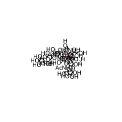 CC(=O)N[C@H]1[C@H](O[C@@H]2[C@H](O[C@]3(C(=O)O)C[C@H](O)[C@@H](NC(=O)CO)[C@H]([C@H](O)[C@H](O)CO)O3)[C@@H](O)[C@H](O[C@H]3[C@@H](O)[C@@H](CO)O[C@@H](O[C@@H]4[C@H](O)[C@@H](O)[C@H](O[C@H]5[C@H](O)[C@@H](O)[C@H](O)O[C@@H]5CO)O[C@@H]4CO)[C@@H]3NC(C)=O)O[C@@H]2CO)O[C@H](CO)[C@H](O)[C@@H]1O[C@@H]1O[C@H](CO)[C@H](O)[C@H](O)[C@H]1O